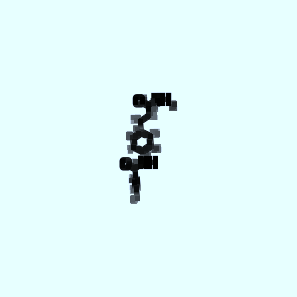 CC#CC(=O)Nc1ccc(CCC(N)=O)cc1